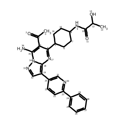 CC(=O)c1c(C2CCC(NC(=O)C(C)O)CC2)nc2c(-c3ccc(-c4ccccc4)nc3)cnn2c1N